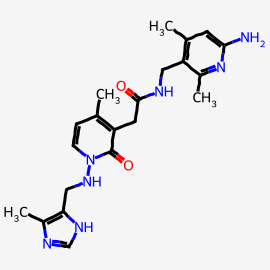 Cc1cc(N)nc(C)c1CNC(=O)Cc1c(C)ccn(NCc2[nH]cnc2C)c1=O